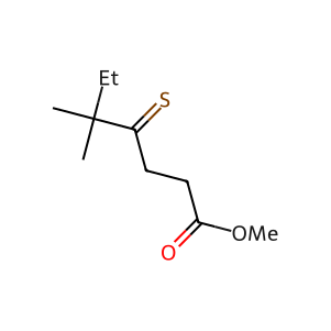 CCC(C)(C)C(=S)CCC(=O)OC